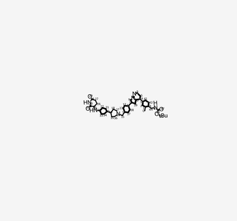 Cc1cc(-c2ccnn3cc(-c4ccc(CN5CCC(c6ccc(NC7CCC(=O)NC7=O)cc6)CC5)cc4)cc23)ccc1CNC(=O)OC(C)(C)C